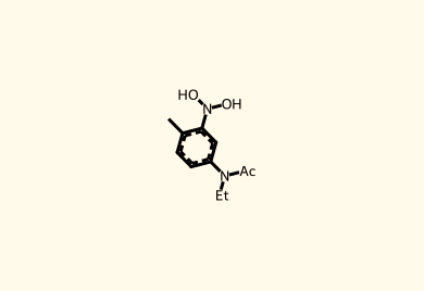 CCN(C(C)=O)c1ccc(C)c(N(O)O)c1